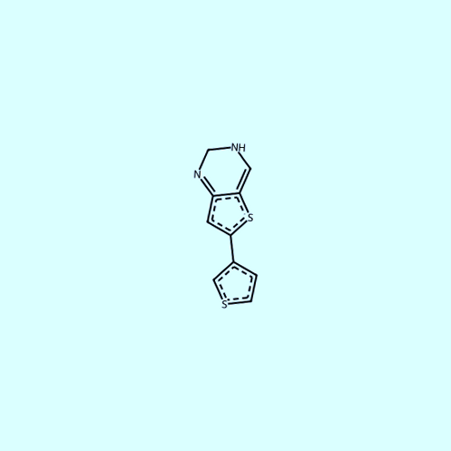 C1=c2sc(-c3ccsc3)cc2=NCN1